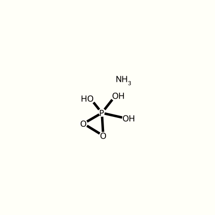 N.OP1(O)(O)OO1